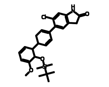 COC1=CC=CC(C2C=CC(c3cc4c(cc3Cl)NC(=O)C4)=CC2)C1O[Si](C)(C)C(C)(C)C